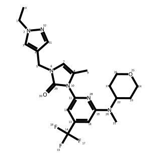 CCn1cc(Cn2cc(C)n(-c3cc(C(F)(F)F)cc(N(C)C4CCOCC4)n3)c2=O)cn1